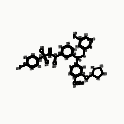 COc1ccc(N(Cc2cncc(F)c2)c2cccc(C(=O)NS(=O)(=O)c3ccc(F)cc3)c2)cc1OC1CCCC1